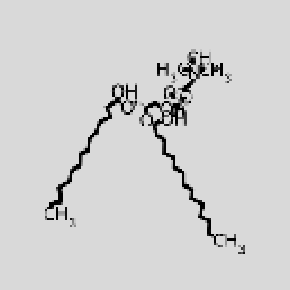 CCCCCCCCCCCCCCC(O)OC[C@H](COP(=O)([O-])OCC[N+](C)(C)C)OC(O)CCCCCCCCCCCCCC